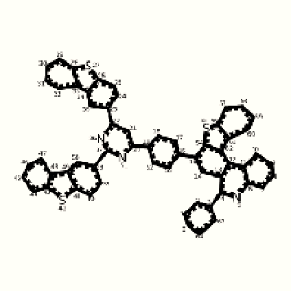 c1ccc(-c2nc3ccccc3c3c2cc(-c2ccc(-c4cc(-c5ccc6sc7ccccc7c6c5)nc(-c5ccc6sc7ccccc7c6c5)n4)cc2)c2sc4ccccc4c23)cc1